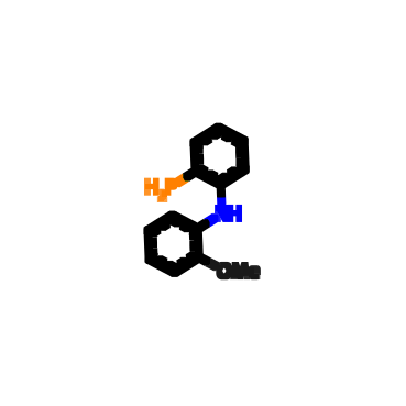 COc1ccccc1Nc1ccccc1P